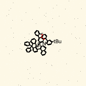 CC(C)(C)c1ccc(N2c3cc4sc5ccccc5c4cc3B3c4c2cc2ccccc2c4-c2cccc4c2N3c2ccccc2C4(c2ccccc2)c2ccccc2)c(-c2ccccc2)c1